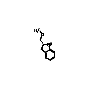 COC[C@H]1Cc2ccccc2N1